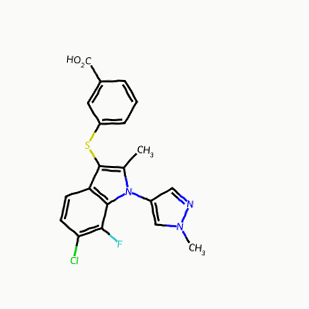 Cc1c(Sc2cccc(C(=O)O)c2)c2ccc(Cl)c(F)c2n1-c1cnn(C)c1